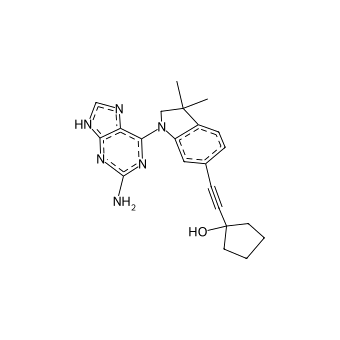 CC1(C)CN(c2nc(N)nc3[nH]cnc23)c2cc(C#CC3(O)CCCC3)ccc21